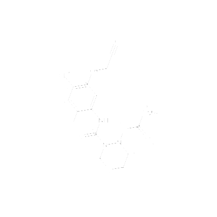 C#CCOc1cc(NC(=O)N2COCCN2OC(=O)OC)c(F)cc1Cl